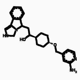 Nc1cc(CO[C@H]2CC[C@H](C(O)CC3c4ccccc4C4=CNCN43)CC2)ccn1